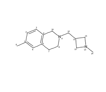 Cc1ccc2c(c1)CCN(CC1CN(C)C1)C2